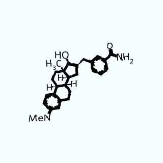 CNc1ccc2c(c1)CC[C@@H]1[C@@H]2CC[C@]2(C)[C@@H](O)[C@@H](Cc3cccc(C(N)=O)c3)C[C@@H]12